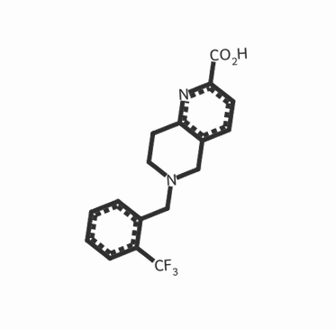 O=C(O)c1ccc2c(n1)CCN(Cc1ccccc1C(F)(F)F)C2